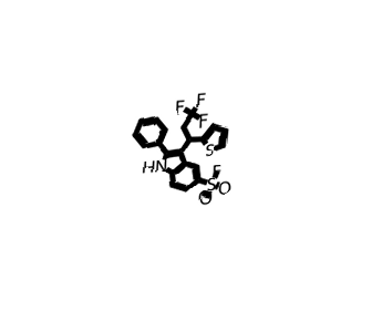 O=S(=O)(F)c1ccc2[nH]c(-c3ccccc3)c(C(CC(F)(F)F)c3cccs3)c2c1